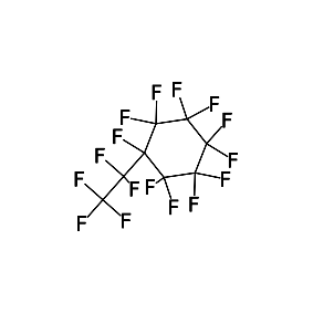 FC(F)(F)C(F)(F)C1(F)C(F)(F)C(F)(F)C(F)(F)C(F)(F)C1(F)F